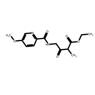 CCOC(=O)C(C)C(=O)CNC(=O)c1ccc(OC)cn1